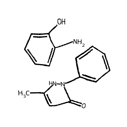 Cc1cc(=O)n(-c2ccccc2)[nH]1.Nc1ccccc1O